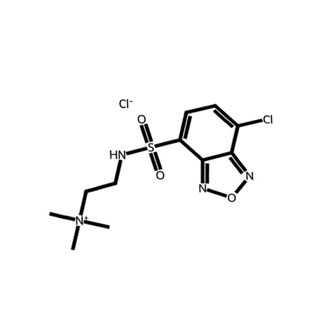 C[N+](C)(C)CCNS(=O)(=O)c1ccc(Cl)c2nonc12.[Cl-]